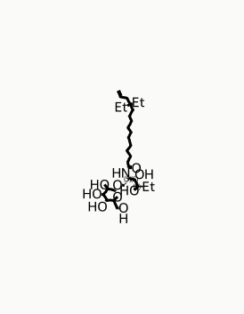 C=CCC(CC)(CC)CCCCCCCCCCC(=O)N[C@@H](COC1OC(CO)C(O)C(O)C1O)[C@H](O)[C@H](O)CC